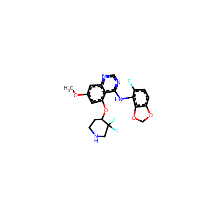 COc1cc(OC2CCNCC2(F)F)c2c(Nc3c(F)ccc4c3OCO4)ncnc2c1